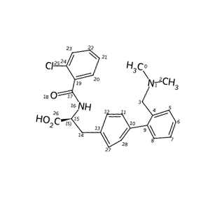 CN(C)Cc1ccccc1-c1ccc(C[C@H](NC(=O)c2ccccc2Cl)C(=O)O)cc1